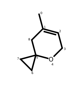 CC1=CCOC2(CC2)C1